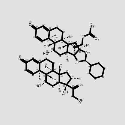 CC(C)C(=O)OCC(=O)[C@@]12O[C@H](C3CCCCC3)O[C@@H]1C[C@H]1[C@@H]3CCC4=CC(=O)C=C[C@]4(C)[C@H]3[C@@H](O)C[C@@]12C.C[C@H]1C[C@H]2[C@@H]3CCC4=CC(=O)C=C[C@]4(C)[C@@]3(F)[C@@H](O)C[C@]2(C)[C@@]1(O)C(=O)CO